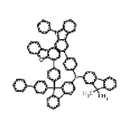 CC1(C)c2ccccc2-c2ccc(N(c3ccc(-c4ccc5c(c4)c4ccccc4n5-c4ccccc4)cc3)c3ccc4c(c3)C(c3ccc(-c5ccccc5)cc3)(c3ccc(-c5cccc6c5oc5ccccc56)cc3)c3ccccc3-4)cc21